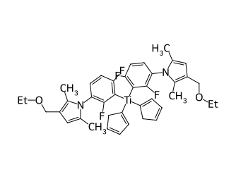 CCOCc1cc(C)n(-c2ccc(F)[c]([Ti]([C]3=CC=CC3)([C]3=CC=CC3)[c]3c(F)ccc(-n4c(C)cc(COCC)c4C)c3F)c2F)c1C